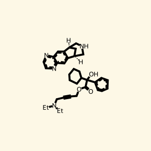 CCN(CC)CC#CCOC(=O)C(O)(c1ccccc1)C1CCCCC1.c1cnc2cc3c(cc2n1)[C@@H]1CNC[C@H]3C1